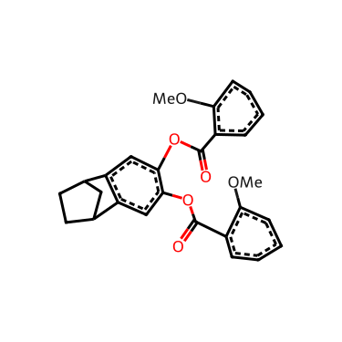 COc1ccccc1C(=O)Oc1cc2c(cc1OC(=O)c1ccccc1OC)C1CCC2C1